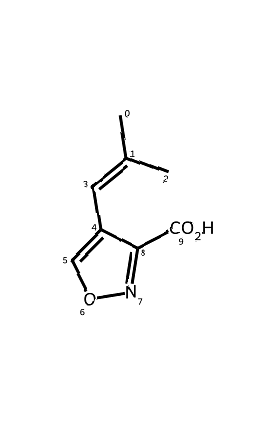 CC(C)=Cc1conc1C(=O)O